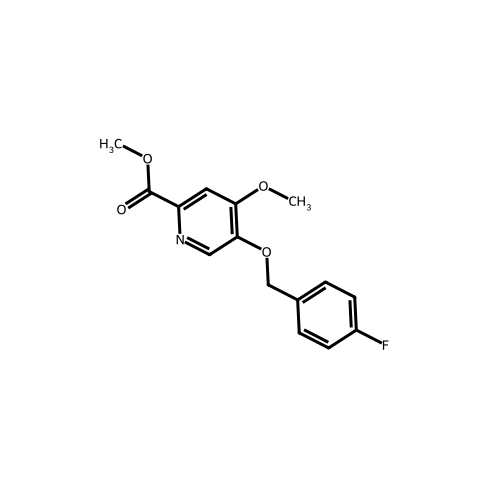 COC(=O)c1cc(OC)c(OCc2ccc(F)cc2)cn1